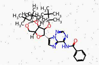 CC(C)(C)[Si](C)(C)OC1[C@H]2O[Si](C(C)(C)C)(C(C)(C)C)OC[C@H]2O[C@H]1c1cnc2c(NC(=O)c3ccccc3)ncnn12